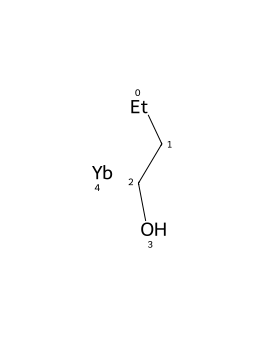 CCCCO.[Yb]